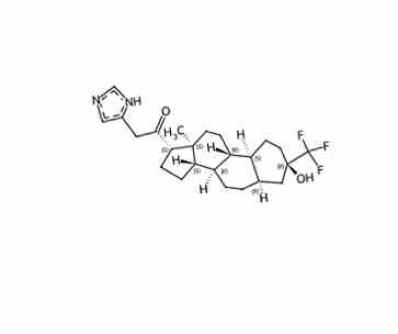 C[C@]12CC[C@H]3[C@@H](CC[C@@H]4C[C@@](O)(C(F)(F)F)CC[C@@H]43)[C@@H]1CC[C@@H]2C(=O)Cc1cnc[nH]1